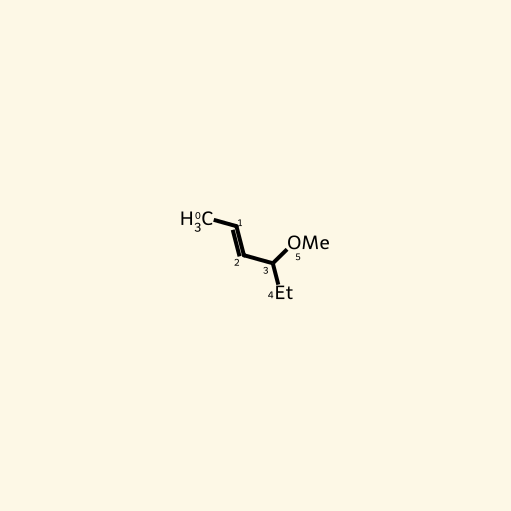 CC=CC(CC)OC